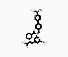 Cc1cc(C=CC(=O)O)cc(N(Cc2ccc(-c3ccc(N(C)C)nc3)cc2)C(=O)C2CCCCC2)n1